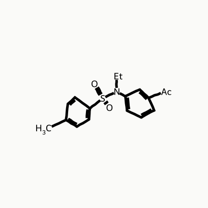 CCN(c1cccc(C(C)=O)c1)S(=O)(=O)c1ccc(C)cc1